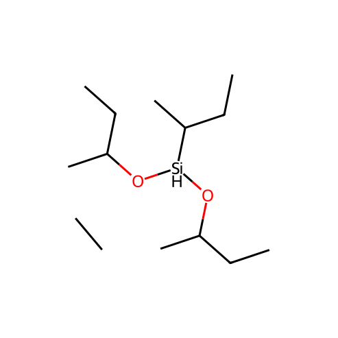 CC.CCC(C)O[SiH](OC(C)CC)C(C)CC